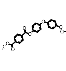 COC(=O)c1ccc(C(=O)Oc2ccc(Oc3ccc(OC)cc3)cc2)cc1